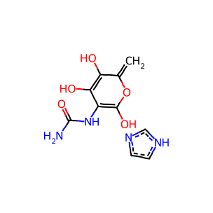 C=C1OC(O)=C(NC(N)=O)C(O)=C1O.c1c[nH]cn1